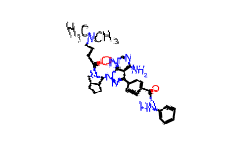 CN(C)CC=CC(=O)N1CC2CCCC2C1n1nc(-c2ccc(C(=O)Nc3ccccc3)cc2)c2c(N)ncnc21